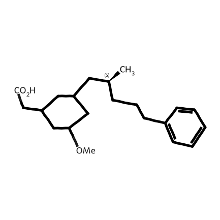 COC1CC(CC(=O)O)CC(C[C@@H](C)CCCc2ccccc2)C1